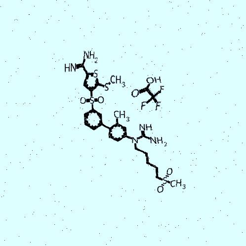 CSc1sc(C(=N)N)cc1S(=O)(=O)c1cccc(-c2ccc(N(CCCCCS(C)(=O)=O)C(=N)N)cc2C)c1.O=C(O)C(F)(F)F